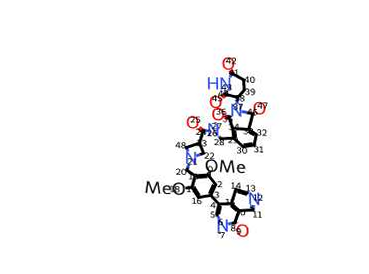 COc1cc(-c2cn(C)c(=O)c3cnccc23)cc(OC)c1CN1CC(C(=O)N(C)Cc2cccc3c2C(=O)N(C2CCC(=O)NC2=O)C3=O)C1